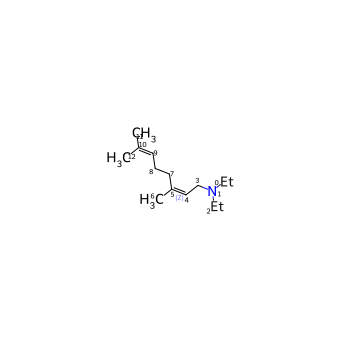 CCN(CC)C/C=C(/C)CCC=C(C)C